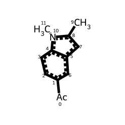 CC(=O)c1ccc2c(c1)cc(C)n2C